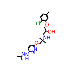 CC(C)=NNc1ccc(OCC(C)(C)NCC(O)COc2cc(C)ccc2Cl)nn1